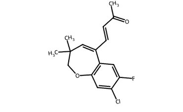 CC(=O)C=CC1=CC(C)(C)COc2cc(Cl)c(F)cc21